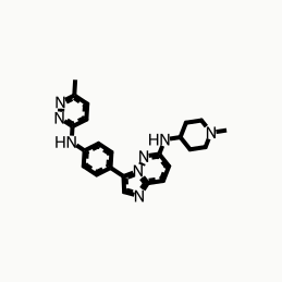 Cc1ccc(Nc2ccc(-c3cnc4ccc(NC5CCN(C)CC5)nn34)cc2)nn1